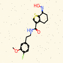 COc1cc(CCNC(=O)c2csc3c2CCC/C3=N/O)ccc1F